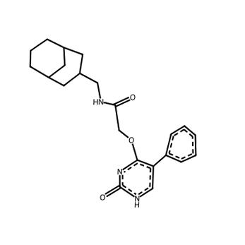 O=C(COc1nc(=O)[nH]cc1-c1ccccc1)NCC1CC2CCCC(C2)C1